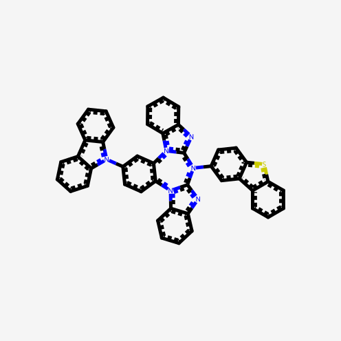 c1ccc2c(c1)nc1n(-c3ccc4sc5ccccc5c4c3)c3nc4ccccc4n3c3cc(-n4c5ccccc5c5ccccc54)ccc3n21